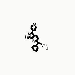 NCC(c1ccccc1)c1ccc2c(-c3ccncc3)n[nH]c2n1